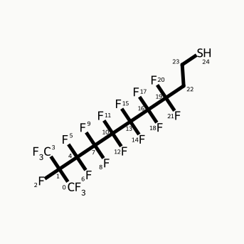 FC(F)(F)C(F)(C(F)(F)F)C(F)(F)C(F)(F)C(F)(F)C(F)(F)C(F)(F)C(F)(F)CCS